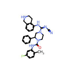 Cc1ccc(F)cc1NC(=O)N1CCN(/C(=N\C#N)Nc2cccc3c2CCNC3)CC1c1ccccc1